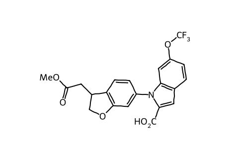 COC(=O)CC1COc2cc(-n3c(C(=O)O)cc4ccc(OC(F)(F)F)cc43)ccc21